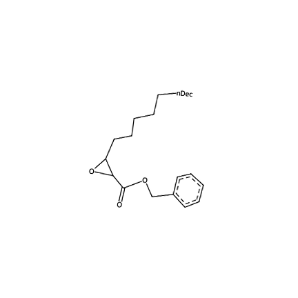 CCCCCCCCCCCCCCCC1OC1C(=O)OCc1ccccc1